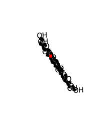 OCCCCOCCCCOCCCCOCCCCOCCCCO.OCCOCCOCCOCCOCCOCCOCCOCCOCCOCCO